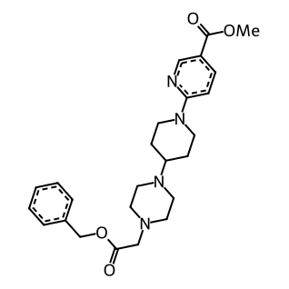 COC(=O)c1ccc(N2CCC(N3CCN(CC(=O)OCc4ccccc4)CC3)CC2)nc1